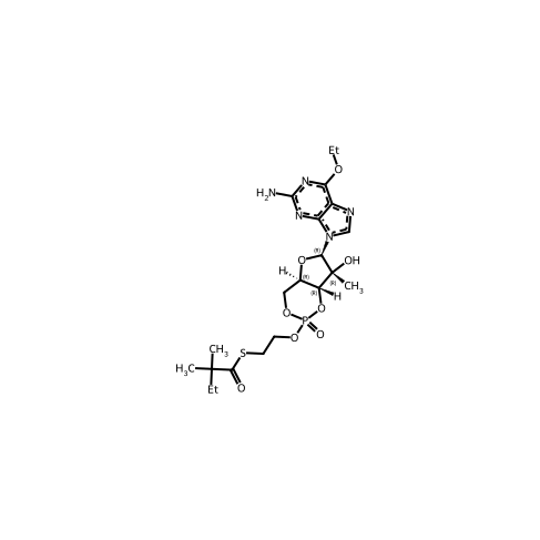 CCOc1nc(N)nc2c1ncn2[C@@H]1O[C@@H]2COP(=O)(OCCSC(=O)C(C)(C)CC)O[C@H]2[C@@]1(C)O